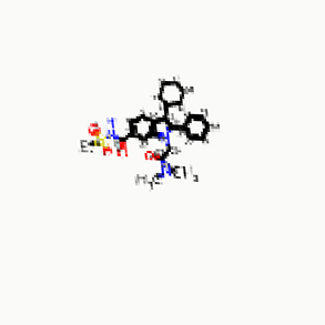 CCS(=O)(=O)NC(=O)c1ccc2c(C3CCCCC3)c(-c3ccccc3)n(CC(=O)N(C)C)c2c1